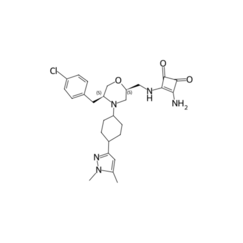 Cc1cc(C2CCC(N3C[C@H](CNc4c(N)c(=O)c4=O)OC[C@@H]3Cc3ccc(Cl)cc3)CC2)nn1C